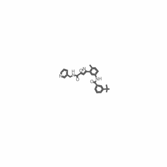 Cc1ccc(NC(=O)c2cccc(C(C)(C)C)c2)cc1-c1cc(C(=O)NCc2cccnc2)on1